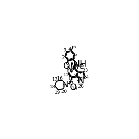 COc1ccc(C)cc1Nc1ncc(C(=O)N2CCCCC2)c2c1ccn2C